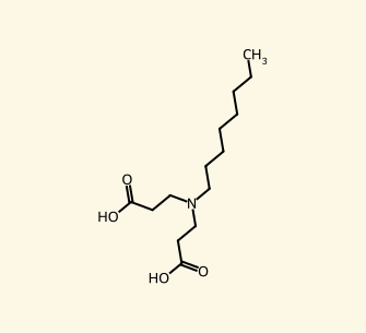 CCCCCCCCN(CCC(=O)O)CCC(=O)O